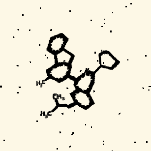 Cc1cc2c(c(-c3nc(C4CCCC4)cc4ccc(CC(C)C)cc34)c1)Cc1ccccc1-2